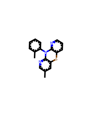 Cc1cnc2c(c1)Sc1cccnc1N2c1ccccc1C